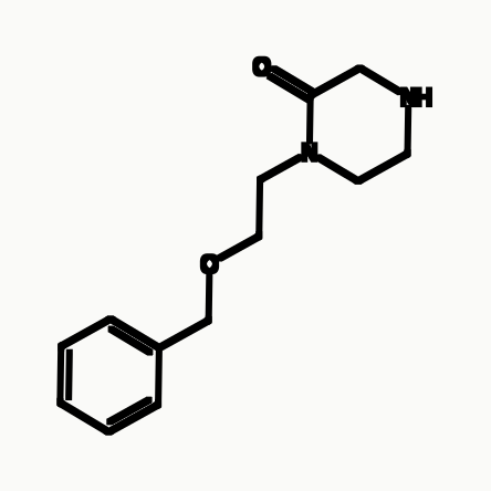 O=C1CNCCN1CCOCc1ccccc1